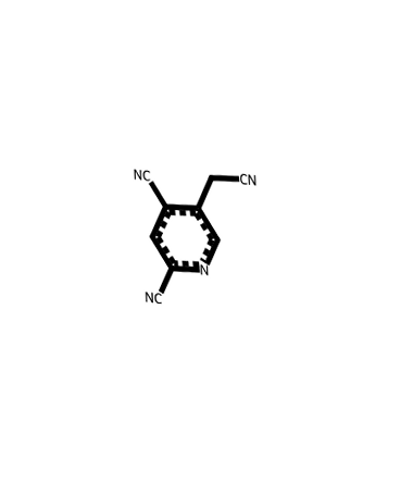 N#CCc1cnc(C#N)cc1C#N